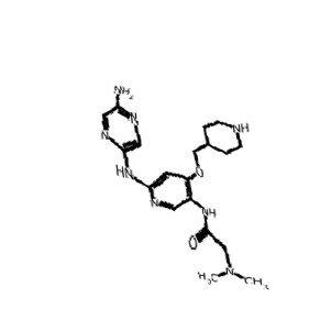 CN(C)CC(=O)Nc1cnc(Nc2cnc(N)cn2)cc1OCC1CCNCC1